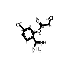 N=C(N)c1ccc(Cl)cc1OC(=O)CCl